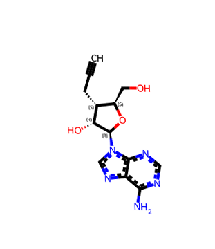 C#CC[C@H]1[C@@H](O)[C@H](n2cnc3c(N)ncnc32)O[C@@H]1CO